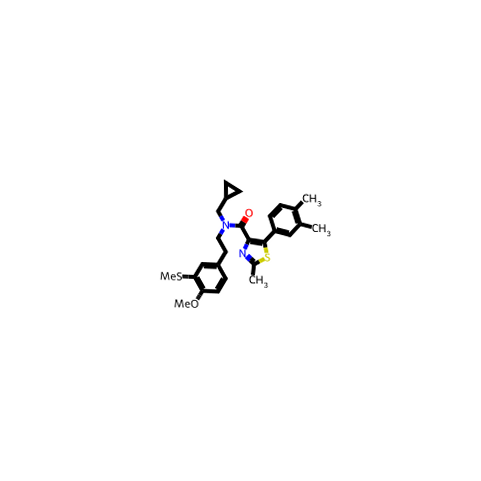 COc1ccc(CCN(CC2CC2)C(=O)c2nc(C)sc2-c2ccc(C)c(C)c2)cc1SC